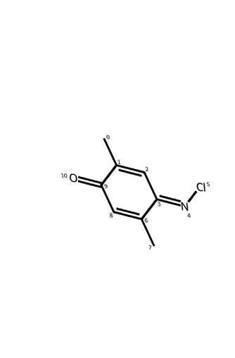 CC1=CC(=NCl)C(C)=CC1=O